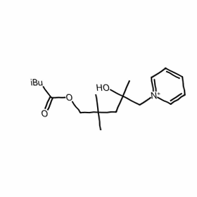 CCC(C)C(=O)OCC(C)(C)CC(C)(O)C[n+]1ccccc1